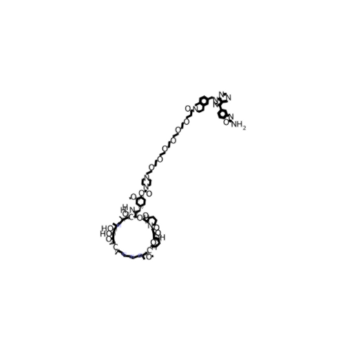 CO[C@H]1C[C@@H]2CC[C@@H](C)[C@@](O)(O2)C(=O)C(=O)N2CCCC[C@H]2C(=O)O[C@H]([C@H](N)C[C@@H]2CC[C@@H](OC(=O)N3CCN(CCOCCOCCOCCOCCOCCOCCC(=O)N4CCc5cc(Cn6nc(-c7ccc8oc(N)nc8c7)c7cncnc76)ccc5C4)CC3)[C@H](OC)C2)C[C@@H](O)[C@H](C)/C=C(\C)[C@@H](O)[C@@H](O)C(=O)[C@H](C)C[C@H](C)/C=C/C=C/C=C/1C